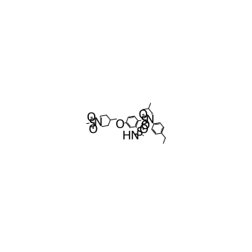 CCc1ccc(N(CC(C)C)S(=O)(=O)c2ccc(OCC3CCN(S(C)(=O)=O)CC3)cc2S(C)(=N)=O)cc1